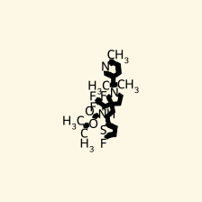 Cc1ccc(C(C)(C)N2CCC(CCc3ccc(F)s3)([C@@H](NC(=O)OC(C)C)C(F)(F)F)C2)cn1